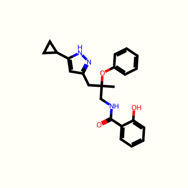 CC(CNC(=O)c1ccccc1O)(Cc1cc(C2CC2)[nH]n1)Oc1ccccc1